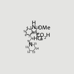 COc1[nH]c2cccc(CCN3CCCCC3)c2c1C(=O)O.Cl